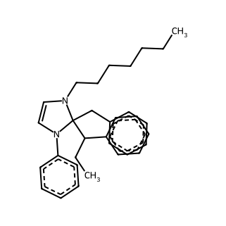 CCCCCCCN1C=CN(c2ccccc2)C1(Cc1ccccc1)C(CC)c1ccccc1